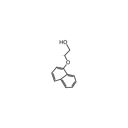 OC[CH]Oc1cccc2ccccc12